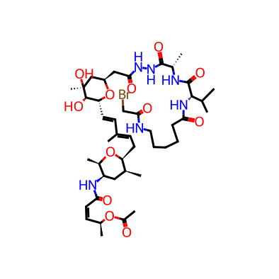 CC(=O)O[C@@H](C)/C=C\C(=O)N[C@@H]1C[C@H](C)[C@H](C/C=C(C)/C=C/[C@H]2O[C@H](CC(=O)NNC(=O)[C@H](C)NC(=O)[C@@H](NC(=O)CCCCCNC(=O)CBr)C(C)C)C[C@](C)(O)[C@@H]2O)O[C@@H]1C